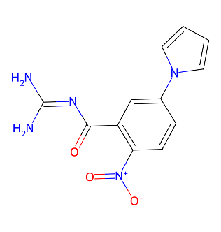 NC(N)=NC(=O)c1cc(-n2cccc2)ccc1[N+](=O)[O-]